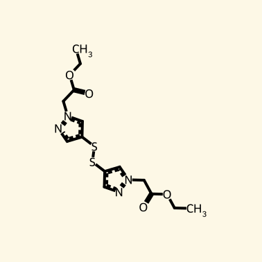 CCOC(=O)Cn1cc(SSc2cnn(CC(=O)OCC)c2)cn1